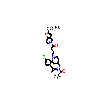 CCOC(=O)c1cc2c(s1)CCN(C(=O)CCCN1CCC(CN(C(=O)C(F)(F)F)C3CC3c3ccc(F)cc3)CC1)C2